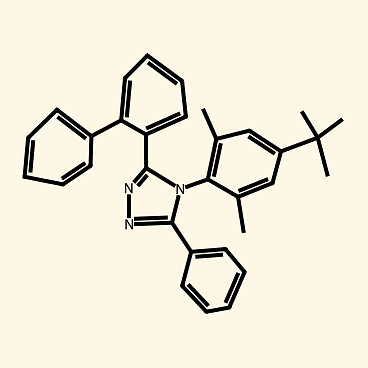 Cc1cc(C(C)(C)C)cc(C)c1-n1c(-c2ccccc2)nnc1-c1ccccc1-c1ccccc1